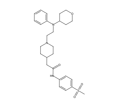 CS(=O)(=O)c1ccc(NC(=O)CC2CCN(CCN(c3ccccc3)C3CCOCC3)CC2)cc1